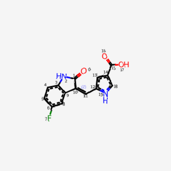 O=C1Nc2ccc(F)cc2/C1=C/c1cc(C(=O)O)c[nH]1